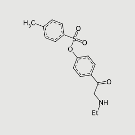 CCNCC(=O)c1ccc(OS(=O)(=O)c2ccc(C)cc2)cc1